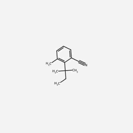 CCC(C)(C)c1c(C)cccc1C#N